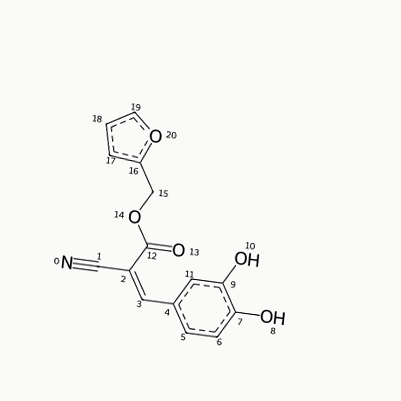 N#CC(=Cc1ccc(O)c(O)c1)C(=O)OCc1ccco1